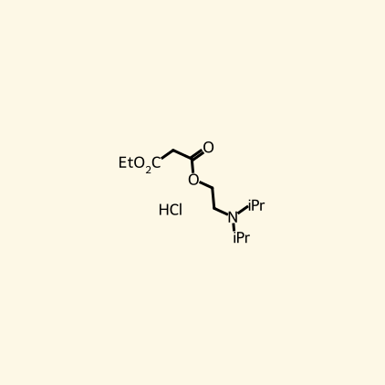 CCOC(=O)CC(=O)OCCN(C(C)C)C(C)C.Cl